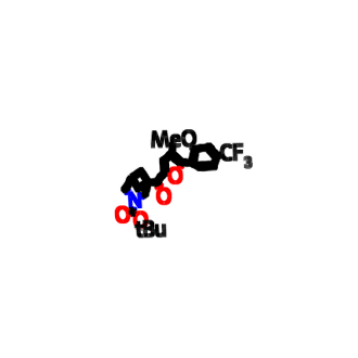 COc1cc(C(F)(F)F)ccc1-c1oc(C(=O)C23CC(CN(C(=O)OC(C)(C)C)C2)C3)cc1C